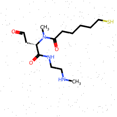 CNCCNC(=O)[C@H](CC=O)N(C)C(=O)CCCCCS